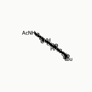 CC(=O)NCCOCCOCC(=O)NCCOCCOCC(=O)NCCOCCOCC(=O)OC(C)(C)C